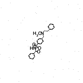 CN(CCc1ccccc1)Cc1ccc(S(=O)(=O)NC(=O)c2ccccc2)cc1